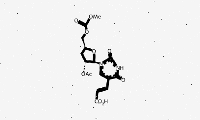 COC(=O)OC[C@@H]1C[C@@H](OC(C)=O)[C@H](n2cc(C=CC(=O)O)c(=O)[nH]c2=O)O1